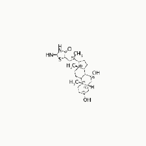 C[C@H](CC1SC(=N)NC1=O)C1CCC2C3C(CC[C@@]21C)[C@@]1(C)CC[C@@H](O)C[C@H]1C[C@H]3O